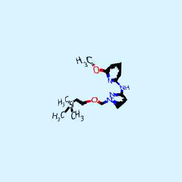 COc1cccc(Nc2ccn(COCC[Si](C)(C)C)n2)n1